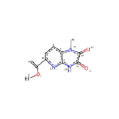 C=C(OCC)c1ccc2c(n1)[nH]c(=O)c(=O)n2C